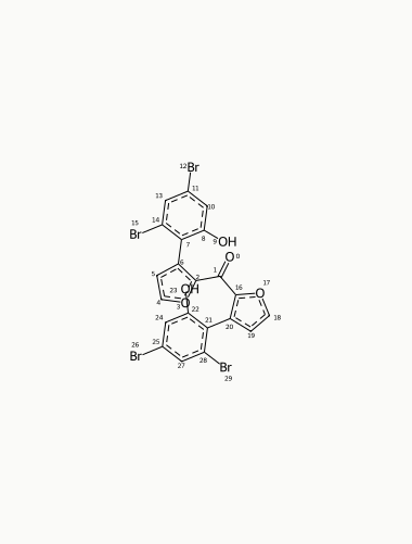 O=C(c1occc1-c1c(O)cc(Br)cc1Br)c1occc1-c1c(O)cc(Br)cc1Br